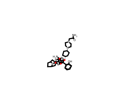 NC(=O)CN1CCN([C@H]2CC[C@@H](Cc3cnc(N4C5CCC4CN(c4cc(-c6ccccc6O)nnc4N)C5)nc3)CC2)CC1